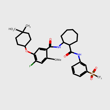 COc1cc(F)c(OC2CCC(C)(C(=O)O)CC2)cc1C(=O)NC1CCCCCC1C(=O)Nc1cccc(S(=O)(=O)C(F)(F)F)c1